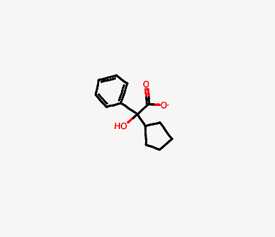 [O]C(=O)C(O)(c1ccccc1)C1CCCC1